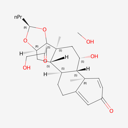 CCC[C@@H]1O[C@@H]2C[C@H]3[C@@H]4CCC5=CC(=O)C=C[C@]5(C)[C@H]4[C@@H](O)C[C@]3(C)[C@]2(C(=O)CO)O1.CO